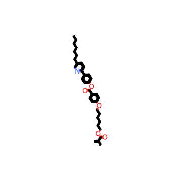 C=C(C)C(=O)OCCCCCCOc1ccc(C(=O)Oc2ccc(-c3ccc(CCCCCCC)cn3)cc2)cc1